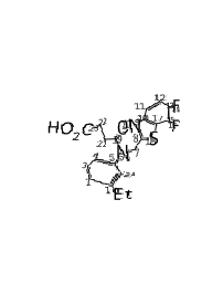 CCc1cccc(N(Cc2nc3ccc(F)c(F)c3s2)C(=O)CCC(=O)O)c1